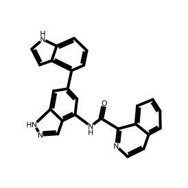 O=C(Nc1cc(-c2cccc3[nH]ccc23)cc2[nH]ncc12)c1nccc2ccccc12